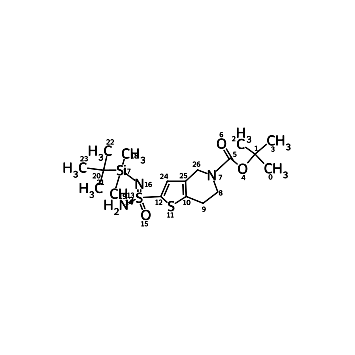 CC(C)(C)OC(=O)N1CCc2sc(S(N)(=O)=N[Si](C)(C)C(C)(C)C)cc2C1